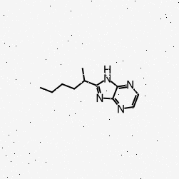 CCCCC(C)c1nc2nccnc2[nH]1